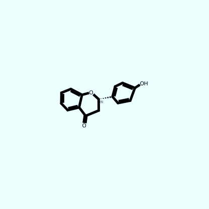 O=C1C[C@@H](c2ccc(O)cc2)Oc2ccccc21